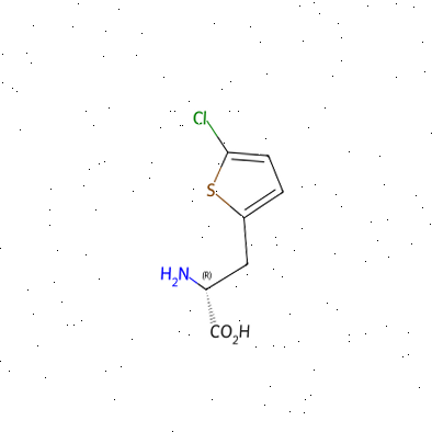 N[C@H](Cc1ccc(Cl)s1)C(=O)O